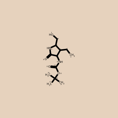 CCC1C(CO)NC(=O)C1NC(=O)OC(C)(C)C